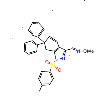 CON=Cc1nn(S(=O)(=O)c2ccc(C)cc2)c2c1C=CC(c1ccccc1)(c1ccccc1)C2